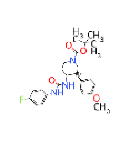 COc1ccc([C@@H]2CN(C(=O)OC(C)(C)C)CCC2NC(=O)Nc2ccc(F)cc2)cc1